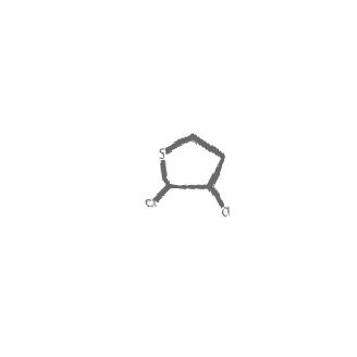 ClC1CCSC1Cl